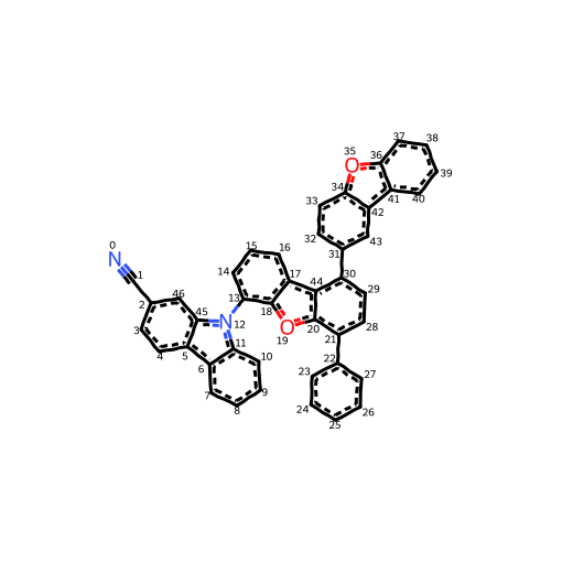 N#Cc1ccc2c3ccccc3n(-c3cccc4c3oc3c(-c5ccccc5)ccc(-c5ccc6oc7ccccc7c6c5)c34)c2c1